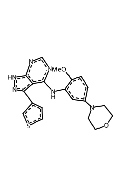 COc1ccc(N2CCOCC2)cc1Nc1ncnc2[nH]nc(-c3ccsc3)c12